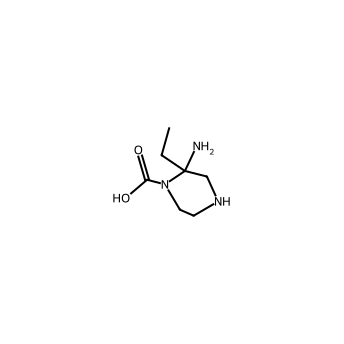 CCC1(N)CNCCN1C(=O)O